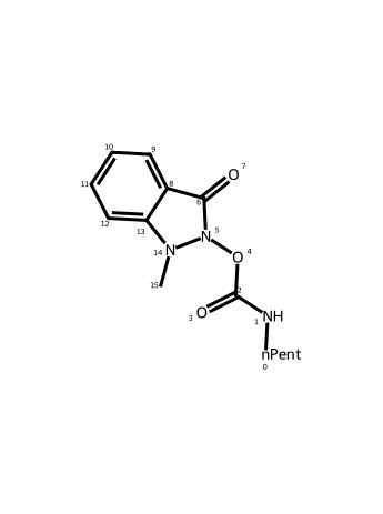 CCCCCNC(=O)On1c(=O)c2ccccc2n1C